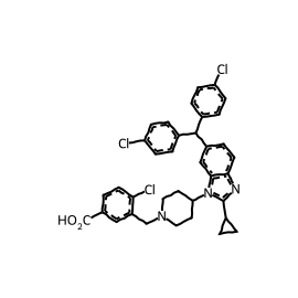 O=C(O)c1ccc(Cl)c(CN2CCC(n3c(C4CC4)nc4ccc(C(c5ccc(Cl)cc5)c5ccc(Cl)cc5)cc43)CC2)c1